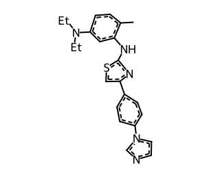 CCN(CC)c1ccc(C)c(Nc2nc(-c3ccc(-n4ccnc4)cc3)cs2)c1